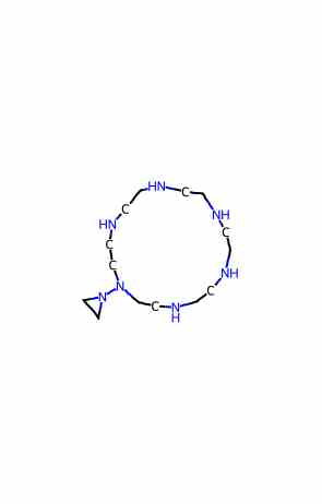 C1CNCCNCCN(N2CC2)CCNCCNCCN1